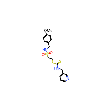 COc1ccc(CNS(=O)(=O)CCSC(=S)NCc2cccnc2)cc1